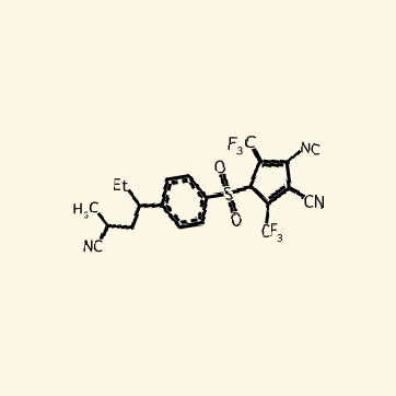 [C-]#[N+]C1=C(C(F)(F)F)C(S(=O)(=O)c2ccc(C(CC)CC(C)C#N)cc2)C(C(F)(F)F)=C1C#N